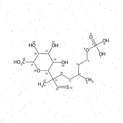 CC(CCOP(=O)(O)O)CCC(C)(C=S)C1OC(C(=O)O)C(O)C(O)C1O